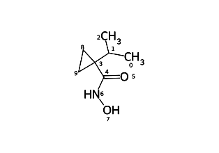 CC(C)C1(C(=O)NO)CC1